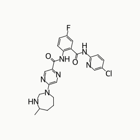 CC1CCCN(c2cnc(C(=O)Nc3ccc(F)cc3C(=O)Nc3ccc(Cl)cn3)cn2)CN1